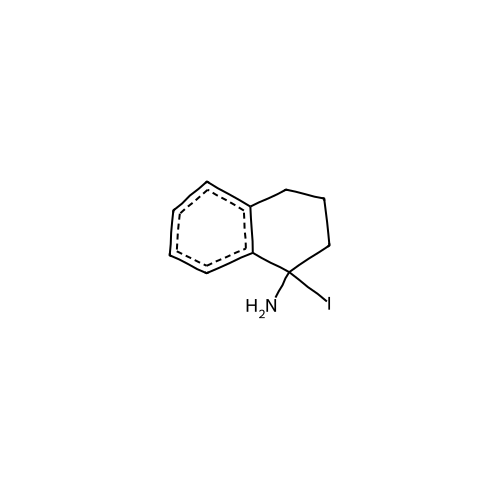 NC1(I)CCCc2ccccc21